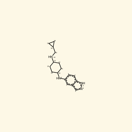 c1cc2[nH]ncc2cc1NC1CCC(NCC2CC2)CC1